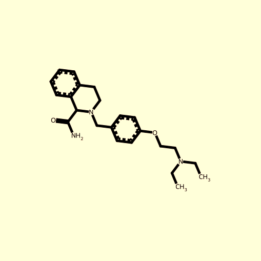 CCN(CC)CCOc1ccc(CN2CCc3c[c]ccc3C2C(N)=O)cc1